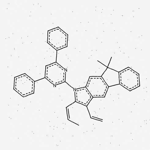 C=Cc1c(/C=C\C)n(-c2nc(-c3ccccc3)cc(-c3ccccc3)n2)c2cc3c(cc12)-c1ccccc1C3(C)C